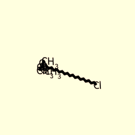 CO[Si](CCCCCCCCCCCCCCCCCCCCl)(OC)OC